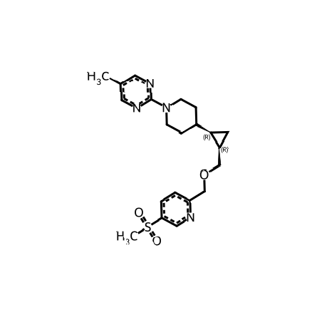 Cc1cnc(N2CCC([C@H]3C[C@H]3COCc3ccc(S(C)(=O)=O)cn3)CC2)nc1